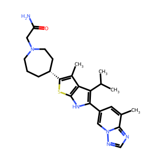 Cc1c([C@@H]2CCCN(CC(N)=O)CC2)sc2[nH]c(-c3cc(C)c4ncnn4c3)c(C(C)C)c12